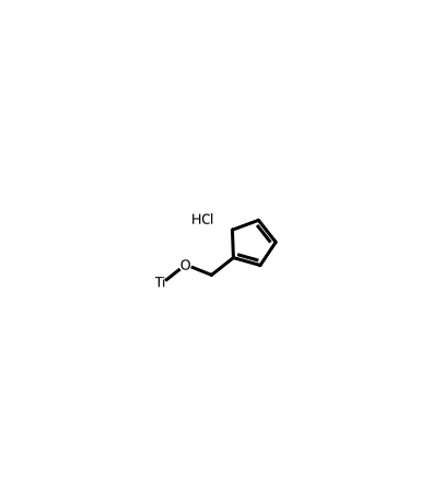 Cl.[Ti][O]CC1=CC=CC1